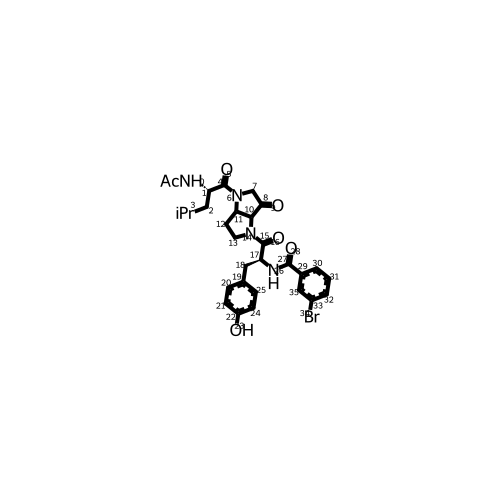 CC(=O)N[C@@H](CC(C)C)C(=O)N1CC(=O)C2C1CCN2C(=O)[C@H](Cc1ccc(O)cc1)NC(=O)c1cccc(Br)c1